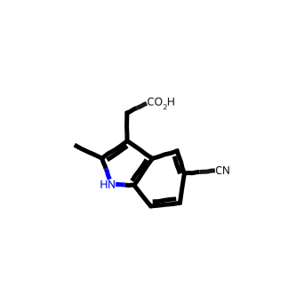 Cc1[nH]c2ccc(C#N)cc2c1CC(=O)O